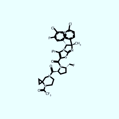 CC(C)C1=C(C(=O)N2[C@H](CF)CC[C@H]2C(=O)N2CCN(C(=O)C(F)(F)F)C3(CC3)C2)SC2=N[C@@](C)(c3ccc(Cl)nc3)[C@@H](c3ccc(Cl)c(F)c3)N21